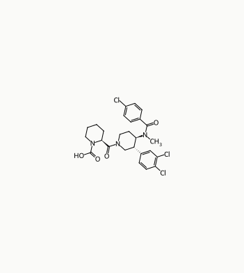 CN(C(=O)c1ccc(Cl)cc1)[C@@H]1CCN(C(=O)[C@@H]2CCCCN2C(=O)O)C[C@H]1c1ccc(Cl)c(Cl)c1